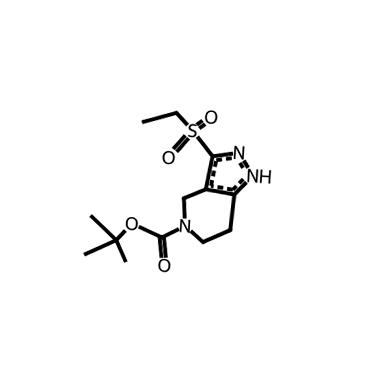 CCS(=O)(=O)c1n[nH]c2c1CN(C(=O)OC(C)(C)C)CC2